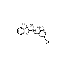 COc1ncc(C2CC2)cc1CNC(=O)[C@](O)(c1ccccc1)C(F)(F)F